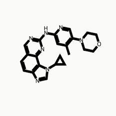 Cc1cc(Nc2ncc3ccc4ncn(C5CC5)c4c3n2)ncc1N1CCOCC1